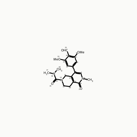 COc1cc(-c2cn(C)c(=O)c3c2CN(C(=O)N(C)C)CC3)cc(OC)c1C=O